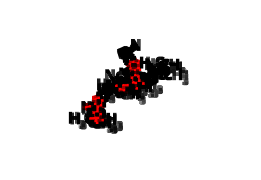 CC1(C)OB(c2cc3c(cc2C#N)C2c4cc(C#N)c(B5OC(C)(C)C(C)(C)O5)cc4C3c3cc(B4OC(C)(C)C(C)(CCC5(C)OB(c6ccc7c(c6C#N)C6c8cc(-c9cc(B%10OC(C)(C)C(C)(C)O%10)c(C#N)c%10c9C9c%11ccccc%11C%10c%10ccc(B%11OC(C)(C)C(C)(C)O%11)c(C#N)c%109)ccc8C7c7c(C#N)cccc76)OC5(C)C)O4)c(C#N)cc32)OC1(C)C